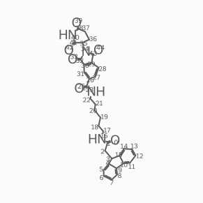 O=C(CC1c2ccccc2-c2ccccc21)NCCCCCCNC(=O)c1ccc2c(c1)C(=O)N(C1CCC(=O)NC1=O)C2=O